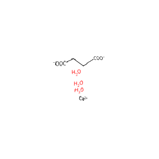 O.O.O.O=C([O-])CCC(=O)[O-].[Ca+2]